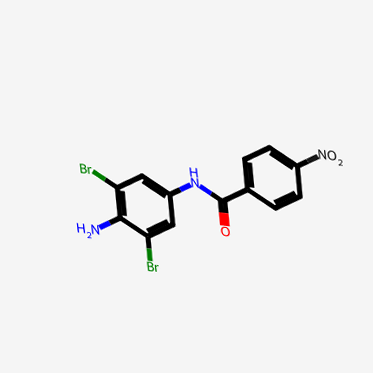 Nc1c(Br)cc(NC(=O)c2ccc([N+](=O)[O-])cc2)cc1Br